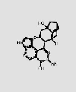 CCCN1N=C([C@H]2[C@H](C)C[C@]3(O)CC4C=C3[C@@H]2C4)c2c(cnc3[nH]ccc23)B1O